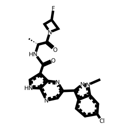 C[C@@H](NC(=O)c1c[nH]c2ncc(-c3nn(C)c4cc(Cl)ccc34)nc12)C(=O)N1CC(F)C1